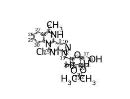 C[C@H](Nc1nc(Cl)nc2c1cnn2C[C@H]1O[C@H](CO)[C@H]2OC(C)(C)O[C@H]21)c1ccccc1